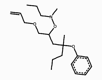 C=CCOCC(CC(C)(CCC)Oc1ccccc1)ON(C)CCC